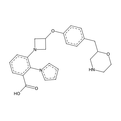 O=C(O)c1cccc(N2CC(Oc3ccc(CC4CNCCO4)cc3)C2)c1-n1cccc1